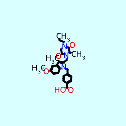 CCCN1CC(=O)N(Cc2c(C)c3cc(OC)ccc3n2Cc2ccc(C(=O)O)cc2)C(C)C1=O